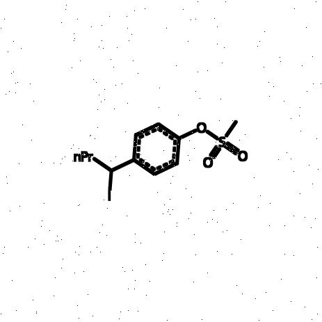 CCCC(I)c1ccc(OS(C)(=O)=O)cc1